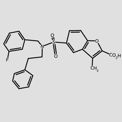 Cc1c(C(=O)O)oc2ccc(S(=O)(=O)N(CCc3ccccc3)Cc3cccc(F)c3)cc12